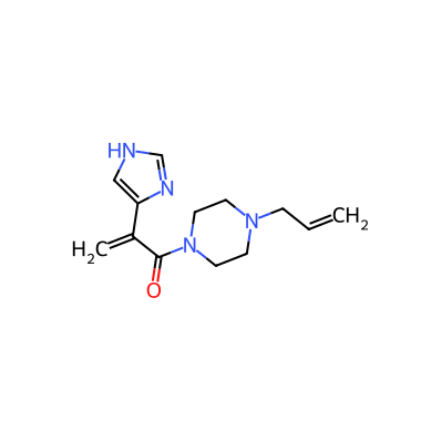 C=CCN1CCN(C(=O)C(=C)c2c[nH]cn2)CC1